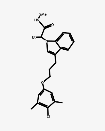 CCC(C(=O)NSC)n1cc(CCCOc2cc(C)c(Cl)c(C)c2)c2ccccc21